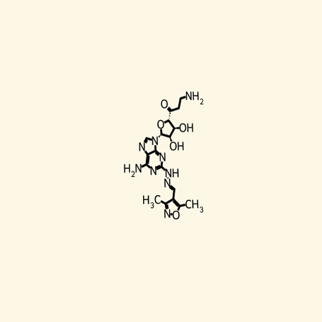 Cc1noc(C)c1/C=N/Nc1nc(N)c2ncn([C@@H]3O[C@H](C(=O)CCN)[C@@H](O)[C@H]3O)c2n1